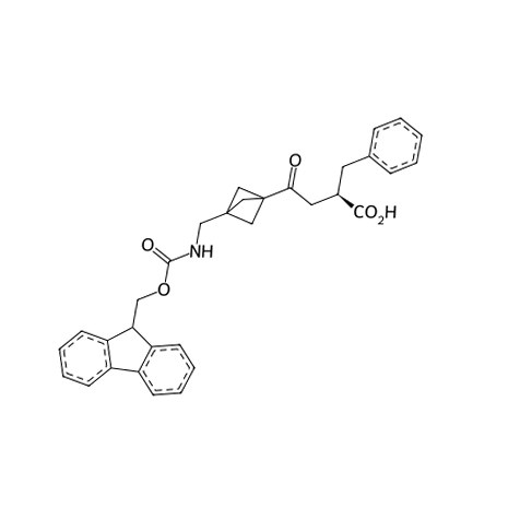 O=C(NCC12CC(C(=O)C[C@@H](Cc3ccccc3)C(=O)O)(C1)C2)OCC1c2ccccc2-c2ccccc21